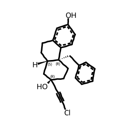 Oc1ccc2c(c1)CC[C@H]1C[C@@](O)(C#CCl)CC[C@]21Cc1ccccc1